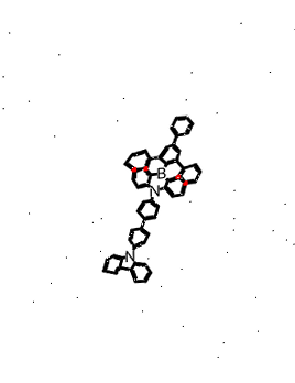 c1ccc(-c2cc(-c3ccccc3)c(B3c4ccccc4N(c4ccc(-c5ccc(-n6c7ccccc7c7ccccc76)cc5)cc4)c4ccccc43)c(-c3ccccc3)c2)cc1